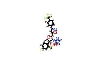 CC(OCc1cc(-c2ccc(C(F)(F)F)cc2)no1)C(O)(Cn1cncn1)c1ccc(F)cc1F